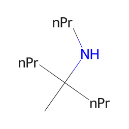 CCCNC(C)(CCC)CCC